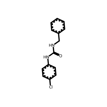 O=C(NCc1ccccc1)Nc1ccc(Cl)cc1